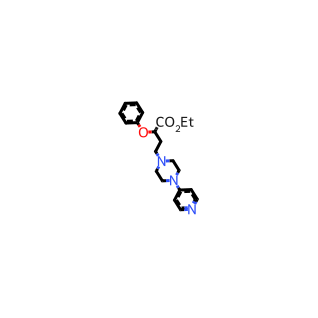 CCOC(=O)C(CCN1CCN(c2ccncc2)CC1)Oc1ccccc1